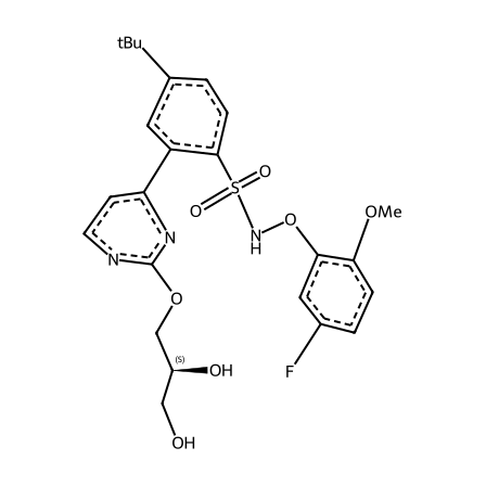 COc1ccc(F)cc1ONS(=O)(=O)c1ccc(C(C)(C)C)cc1-c1ccnc(OC[C@@H](O)CO)n1